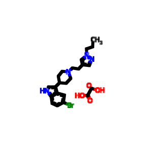 CCCn1cc(CCN2CCC(c3c[nH]c4ccc(Br)cc34)CC2)cn1.O=C(O)C(=O)O